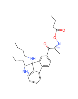 CCCCNC1(C(N)CCC)c2ccccc2-c2ccc(C(=O)/C(C)=N\OC(=O)CCC)cc21